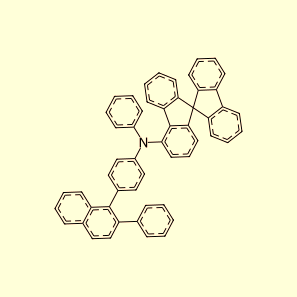 c1ccc(-c2ccc3ccccc3c2-c2ccc(N(c3ccccc3)c3cccc4c3-c3ccccc3C43c4ccccc4-c4ccccc43)cc2)cc1